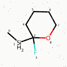 C[SiH2]C1(F)CCCCO1